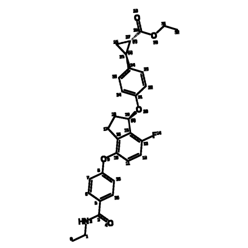 CCNC(=O)c1ccc(Oc2ccc(F)c3c2CC[C@H]3Oc2ccc([C@H]3C[C@@H]3C(=O)OCC)cc2)cc1